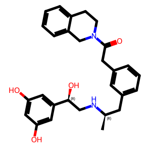 C[C@H](Cc1cccc(CC(=O)N2CCc3ccccc3C2)c1)NC[C@H](O)c1cc(O)cc(O)c1